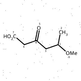 COC(C)CC(=O)CC(=O)O